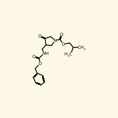 CC(C)COC(=O)N1CC(=O)C(CNC(=O)OCc2ccccc2)C1